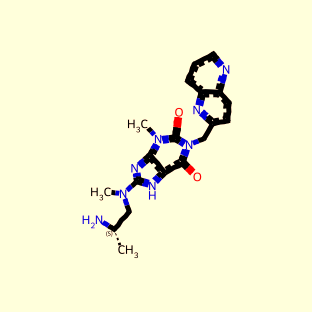 C[C@H](N)CN(C)c1nc2c([nH]1)c(=O)n(Cc1ccc3ncccc3n1)c(=O)n2C